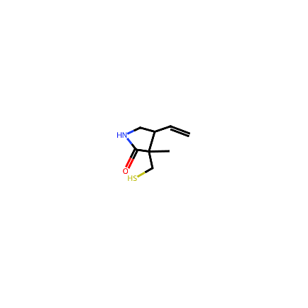 C=CC1CNC(=O)C1(C)CS